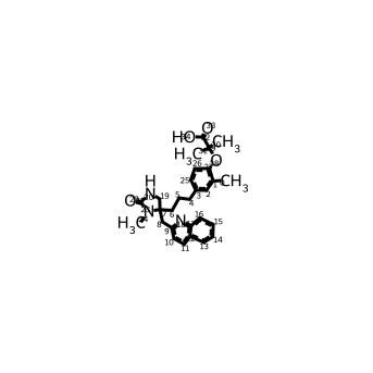 Cc1cc(CCCC2(Cc3ccc4ccccc4n3)CNC(=O)N2C)ccc1OC(C)(C)C(=O)O